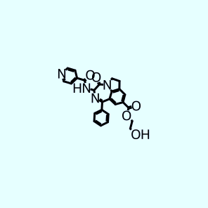 O=C(NC1N=C(c2ccccc2)c2cc(C(=O)OCCO)cc3c2N(CC3)C1=O)c1ccncc1